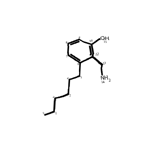 CCCCCCc1cccc(O)c1CN